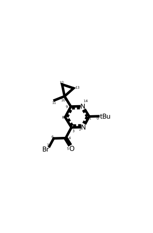 CC(C)(C)c1nc(C(=O)CBr)cc(C2(C)CC2)n1